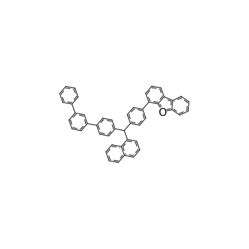 c1ccc(-c2cccc(-c3ccc(C(c4ccc(-c5cccc6c5oc5ccccc56)cc4)c4cccc5ccccc45)cc3)c2)cc1